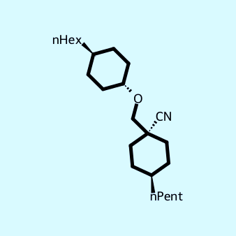 CCCCCC[C@H]1CC[C@H](OC[C@]2(C#N)CC[C@H](CCCCC)CC2)CC1